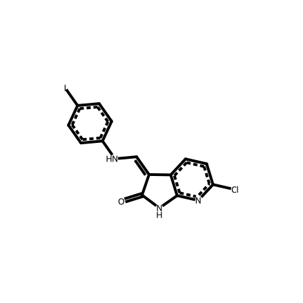 O=C1Nc2nc(Cl)ccc2/C1=C/Nc1ccc(I)cc1